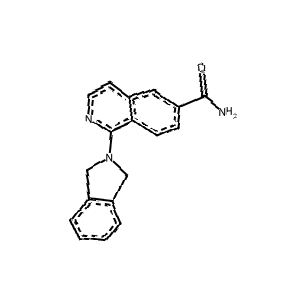 NC(=O)c1ccc2c(N3Cc4ccccc4C3)nccc2c1